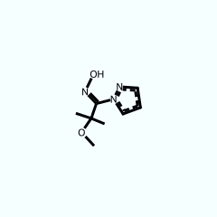 COC(C)(C)/C(=N/O)n1cccn1